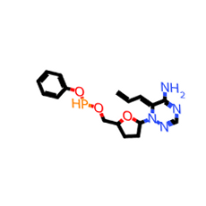 C=C/C=C1/C(N)=NC=NN1C1CCC(COPOc2ccccc2)O1